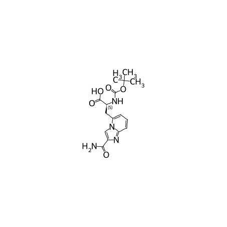 CC(C)(C)OC(=O)N[C@@H](Cc1cccc2nc(C(N)=O)cn12)C(=O)O